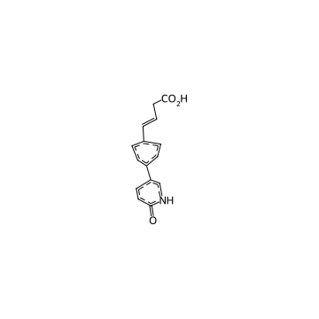 O=C(O)CC=Cc1ccc(-c2ccc(=O)[nH]c2)cc1